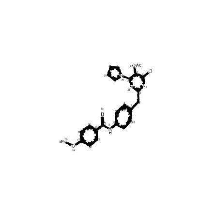 CC(=O)Oc1c(Cl)nc(Cc2ccc(NC(=O)c3ccc(OC(C)C)cc3)cc2)nc1-n1cccc1